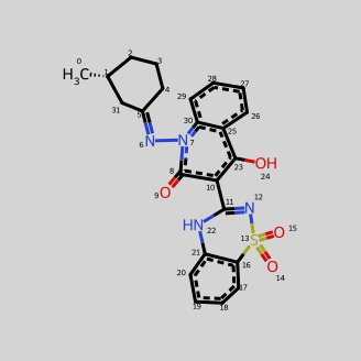 C[C@@H]1CCCC(=Nn2c(=O)c(C3=NS(=O)(=O)c4ccccc4N3)c(O)c3ccccc32)C1